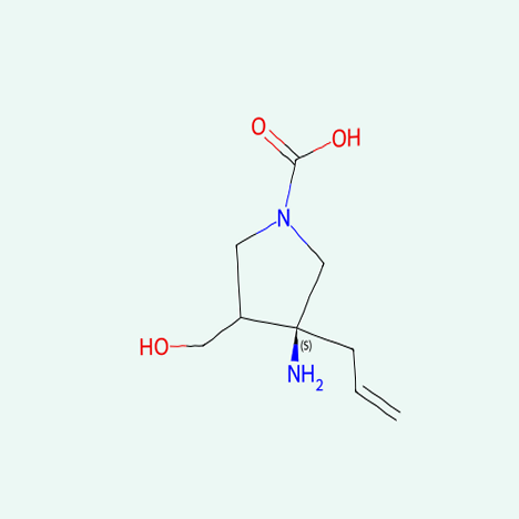 C=CC[C@@]1(N)CN(C(=O)O)CC1CO